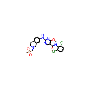 CS(=O)(=O)CN1CCc2ccc(Nc3ncc4c(n3)OCN(c3c(Cl)cccc3Cl)C4=O)cc2C1